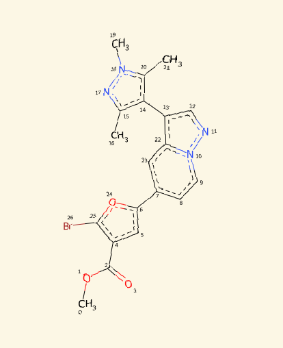 COC(=O)c1cc(-c2ccn3ncc(-c4c(C)nn(C)c4C)c3c2)oc1Br